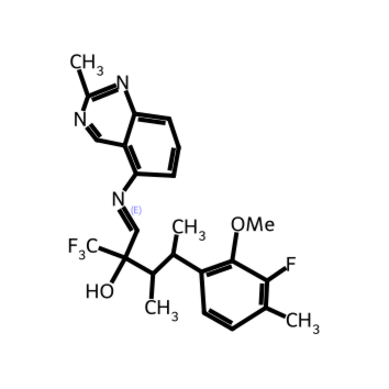 COc1c(C(C)C(C)C(O)(/C=N/c2cccc3nc(C)ncc23)C(F)(F)F)ccc(C)c1F